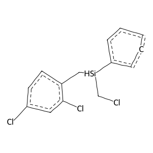 ClC[SiH](Cc1ccc(Cl)cc1Cl)c1ccccc1